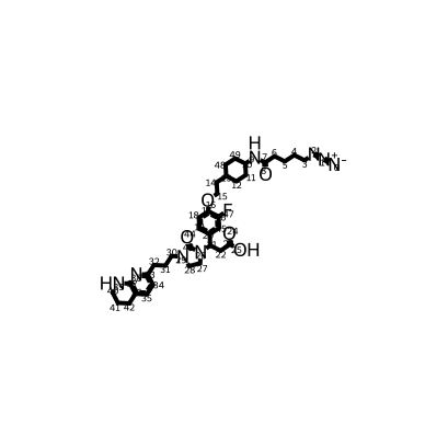 [N-]=[N+]=NCCCCC(=O)NC1CCC(CCOc2ccc(C(CC(=O)O)N3CCN(CCCc4ccc5c(n4)NCCC5)C3=O)cc2F)CC1